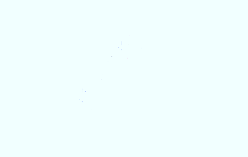 O=S(=O)(NC12CCC(C3=NN=C4C=CC5=C(C=CC5)C43)(CC1)CC2)c1ccccc1